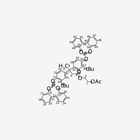 CC(=O)OCCOC(=O)CC(C)(c1ccc(Op2oc3ccccc3c3ccccc3o2)c(C(C)(C)C)c1)c1ccc(Op2oc3ccccc3c3ccccc3o2)c(C(C)(C)C)c1